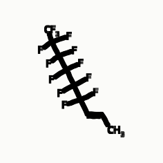 CC=CC(F)(F)C(F)(F)C(F)(F)C(F)(F)C(F)(F)C(F)(F)F